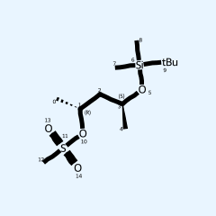 C[C@H](C[C@H](C)O[Si](C)(C)C(C)(C)C)OS(C)(=O)=O